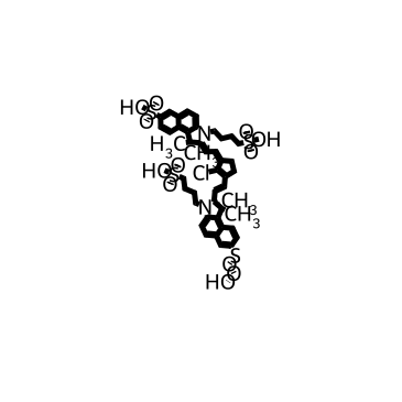 CC1(C)C(=CC=C2CCC(C=CC3=[N+](CCCCS(=O)(=O)O)c4ccc5cc(SOOO)ccc5c4C3(C)C)=C2Cl)N(CCCCS(=O)(=O)O)c2ccc3cc(S(=O)(=O)O)ccc3c21